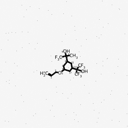 C=CCOC1CC(C(C)(O)C(F)(F)F)CC(C(O)(C(F)(F)F)C(F)(F)F)C1